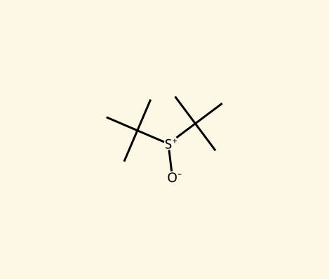 CC(C)(C)[S+]([O-])C(C)(C)C